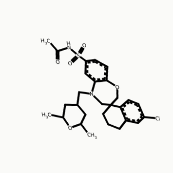 CC(=O)NS(=O)(=O)c1ccc2c(c1)N(CC1CC(C)OC(C)C1)CC1(CCCc3cc(Cl)ccc31)CO2